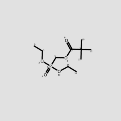 CCOP(=O)(COC(=O)C(C)(C)C)OCC